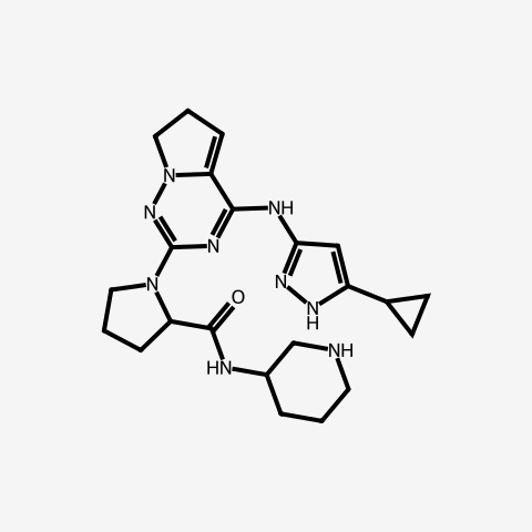 O=C(NC1CCCNC1)C1CCCN1C1=NN2CCC=C2C(Nc2cc(C3CC3)[nH]n2)=N1